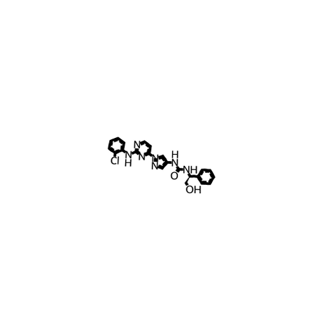 O=C(Nc1cnn(-c2ccnc(Nc3ccccc3Cl)n2)c1)N[C@H](CO)c1ccccc1